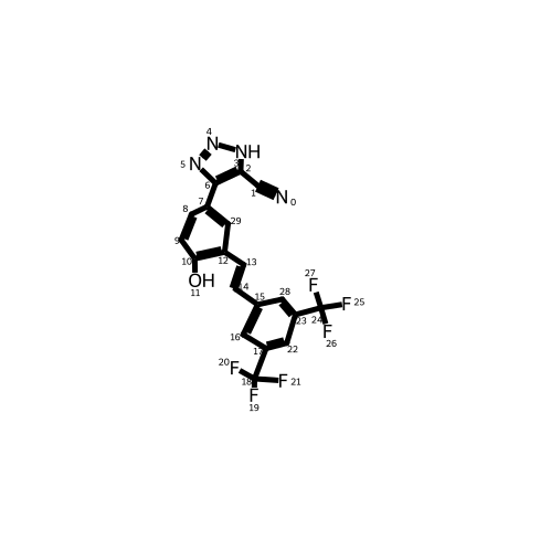 N#Cc1[nH]nnc1-c1ccc(O)c(/C=C/c2cc(C(F)(F)F)cc(C(F)(F)F)c2)c1